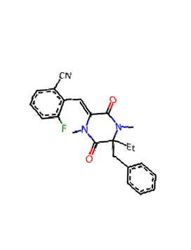 CCC1(Cc2ccccc2)C(=O)N(C)C(=Cc2c(F)cccc2C#N)C(=O)N1C